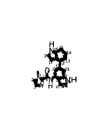 Cn1ccnc1C(=O)Nc1cc(-c2cccc3[nH]ccc23)cc2[nH]ncc12